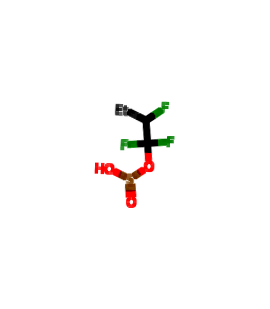 CCC(F)C(F)(F)OS(=O)O